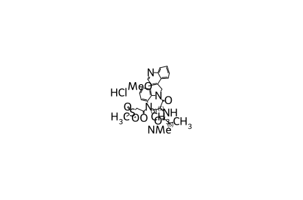 CN[C@@H](C)C(=O)N[C@@H]1C(=O)N(Cc2c(OC)cnc3ccccc23)c2ccccc2N(C(=O)CS(C)(=O)=O)[C@H]1C.Cl